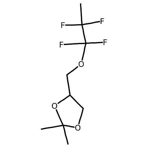 CC1(C)OCC(COC(F)(F)C(C)(F)F)O1